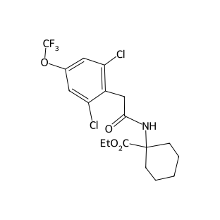 CCOC(=O)C1(NC(=O)Cc2c(Cl)cc(OC(F)(F)F)cc2Cl)CCCCC1